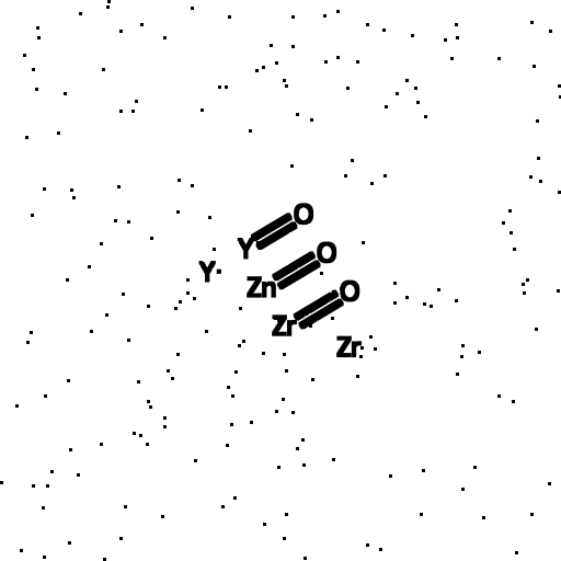 [O]=[Y].[O]=[Zn].[O]=[Zr].[Y].[Zr]